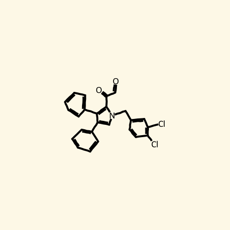 O=CC(=O)c1c(-c2ccccc2)c(-c2ccccc2)cn1Cc1ccc(Cl)c(Cl)c1